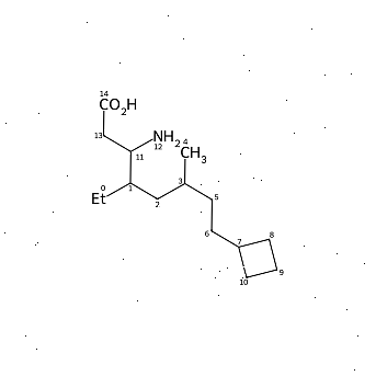 CCC(CC(C)CCC1CCC1)C(N)CC(=O)O